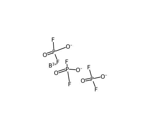 O=P([O-])(F)F.O=P([O-])(F)F.O=P([O-])(F)F.[B+3]